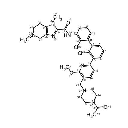 COc1nc(-c2cccc(-c3cccc(NC(=O)c4nc5c(n4C)CCN(C)C5)c3Cl)c2Cl)ccc1CN1CCN(C(C)=O)CC1